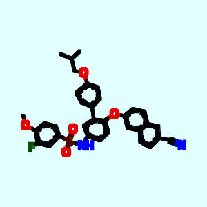 COc1ccc(S(=O)(=O)Nc2ccc(Oc3ccc4cc(C#N)ccc4c3)c(-c3ccc(OCC(C)C)cc3)c2)cc1F